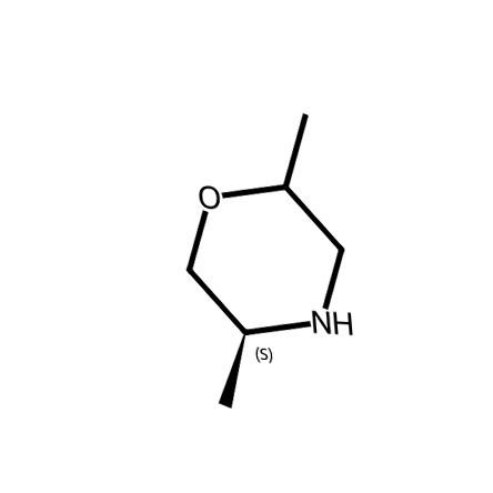 CC1CN[C@@H](C)CO1